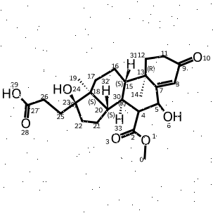 COC(=O)C1C(O)C2=CC(=O)CC[C@]2(C)[C@H]2CC[C@@]3(C)[C@@H](CC[C@]3(O)CCC(=O)O)[C@H]12